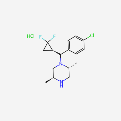 C[C@@H]1CN[C@@H](C)CN1C(c1ccc(Cl)cc1)[C@H]1CC1(F)F.Cl